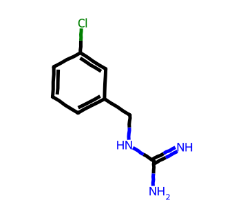 N=C(N)NCc1cccc(Cl)c1